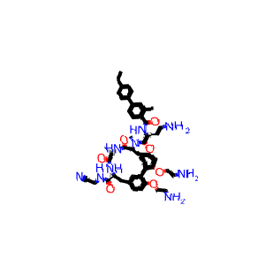 CCc1ccc(-c2ccc(C(=O)N[C@@H](CCN)C(=O)N(C)[C@@H]3C(=O)N[C@@H](C)C(=O)N[C@H](C(=O)NCC#N)Cc4ccc(OCCN)c(c4)-c4cc3ccc4OCCN)c(C)c2)cc1